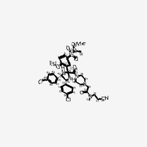 CCOc1ccc(S(=O)(=O)N(C)OC)cc1C1(C(=O)N2CCN(CC(=O)N(C)CCC#N)CC2)N[C@H](c2ccc(Cl)cc2)[C@H](c2ccc(Cl)cc2)N1